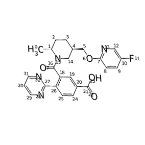 C[C@@H]1CC[C@@H](COc2ccc(F)cn2)CN1C(=O)c1cc(C(=O)O)ccc1-c1ncccn1